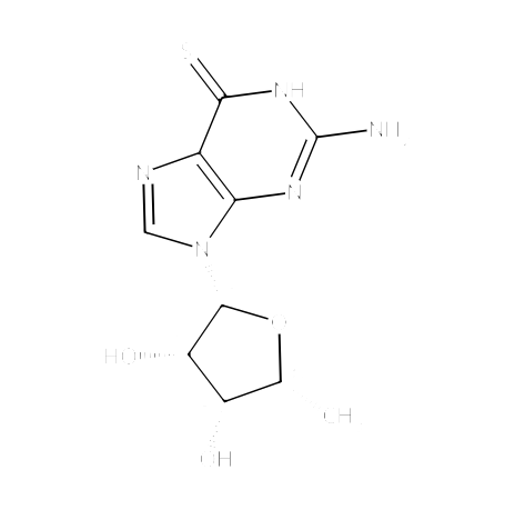 C[C@H]1O[C@@H](n2cnc3c(=S)[nH]c(N)nc32)[C@@H](O)[C@H]1O